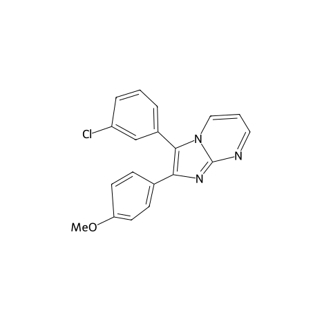 COc1ccc(-c2nc3ncccn3c2-c2cccc(Cl)c2)cc1